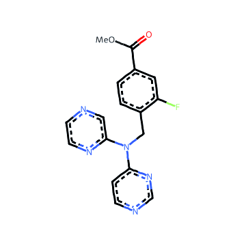 COC(=O)c1ccc(CN(c2ccncn2)c2cnccn2)c(F)c1